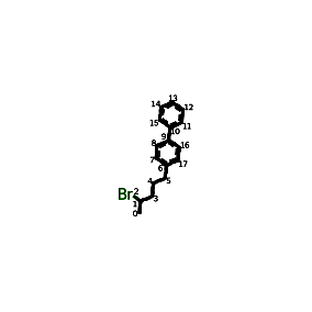 CC(Br)CCCc1ccc(-c2ccccc2)cc1